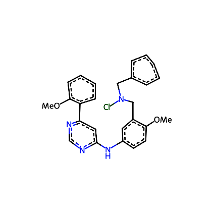 COc1ccc(Nc2cc(-c3ccccc3OC)ncn2)cc1CN(Cl)Cc1ccccc1